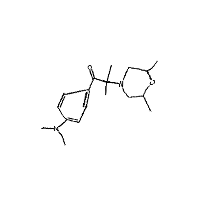 CC1CN(C(C)(C)C(=O)c2ccc(N(C)C)cc2)CC(C)O1